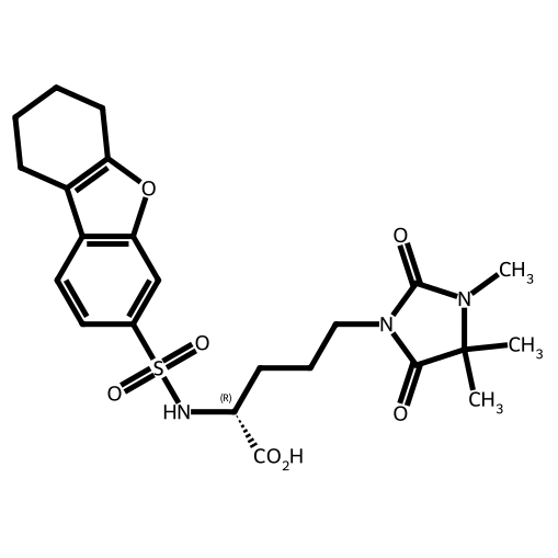 CN1C(=O)N(CCC[C@@H](NS(=O)(=O)c2ccc3c4c(oc3c2)CCCC4)C(=O)O)C(=O)C1(C)C